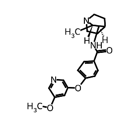 COc1cncc(Oc2ccc(C(=O)N[C@@H]3C4CCN(CC4)[C@H]3C)cc2)c1